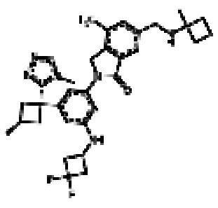 Cn1cnnc1[C@]1(c2cc(NC3CC(F)(F)C3)nc(N3Cc4c(cc(CNC5(C)CCC5)cc4C(F)(F)F)C3=O)c2)C[C@@H](C)C1